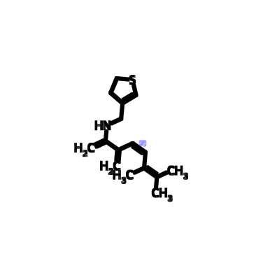 C=C(/C=C\C(C)=C(C)C)C(=C)NCC1=CSCC1